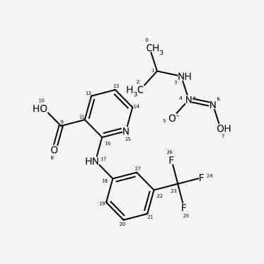 CC(C)N[N+]([O-])=NO.O=C(O)c1cccnc1Nc1cccc(C(F)(F)F)c1